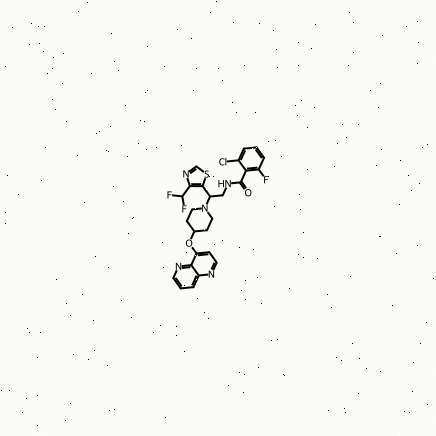 O=C(NCC(c1scnc1C(F)F)N1CCC(Oc2ccnc3cccnc23)CC1)c1c(F)cccc1Cl